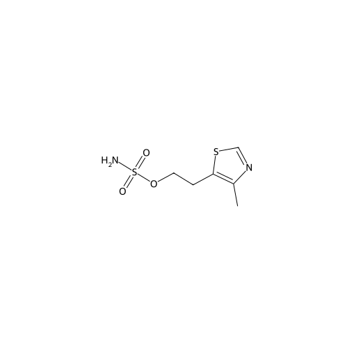 Cc1ncsc1CCOS(N)(=O)=O